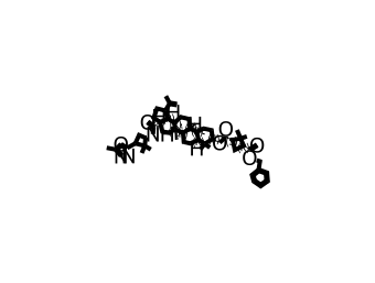 C=C(C)C1CC[C@]2(C(=O)NC3CC(c4nnc(C)o4)C3(C)C)CC[C@]3(C)[C@H](CC[C@@H]4[C@@]5(C)CC[C@H](OC(=O)[C@H]6C[C@@H](C(=O)OCc7ccccc7)C6(C)C)C(C)(C)[C@@H]5CC[C@]43C)[C@@H]12